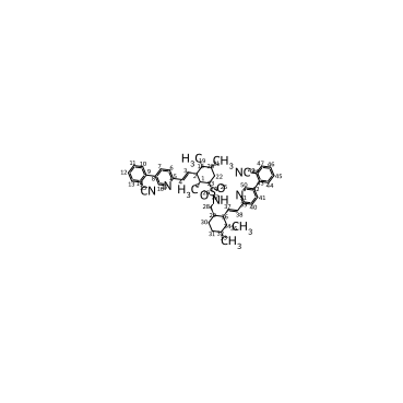 C[C@H]1[C@@H](/C=C/c2ccc(-c3ccccc3C#N)cn2)[C@H](C)[C@@H](C)C[C@H]1S(=O)(=O)NC[C@@H]1CC[C@H](C)[C@@H](C)[C@@H]1/C=C/c1ccc(-c2ccccc2C#N)cn1